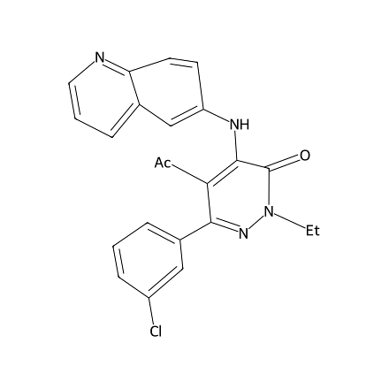 CCn1nc(-c2cccc(Cl)c2)c(C(C)=O)c(Nc2ccc3ncccc3c2)c1=O